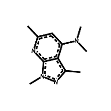 Cc1cc(N(C)C)c2c(C)nn(C)c2n1